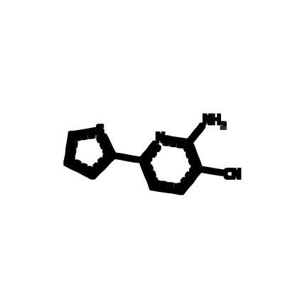 N#Cc1ccc(-c2cccs2)nc1N